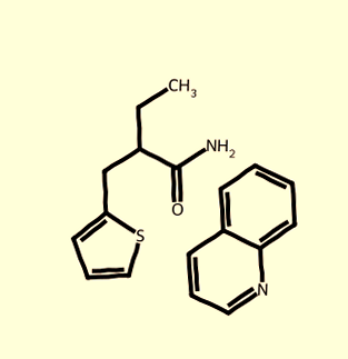 CCC(Cc1cccs1)C(N)=O.c1ccc2ncccc2c1